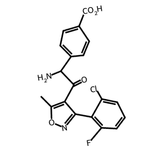 Cc1onc(-c2c(F)cccc2Cl)c1C(=O)C(N)c1ccc(C(=O)O)cc1